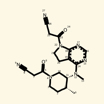 C[C@@H]1CCN(C(=O)CC#N)C[C@@H]1N(C)c1ncnc2c1CCN2C(=O)CC#N